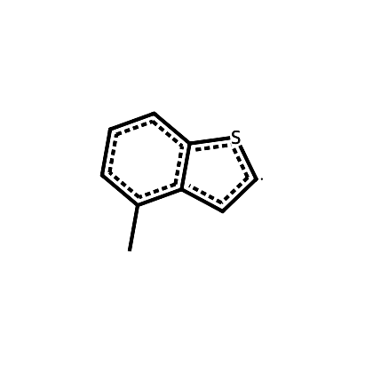 Cc1cccc2s[c]cc12